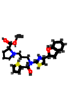 CC(C)(C)OC(=O)C1CCCN1CCCN(C(=O)c1cccs1)c1nc(-c2cc3ccccc3o2)cs1